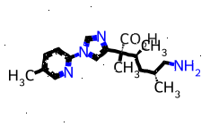 Cc1ccc(-n2cnc([C@@](C)(C(=O)O)[C@@H](C)C[C@@H](C)CN)c2)nc1